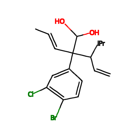 C=CC(C(C)C)C(C=CC)(c1ccc(Br)c(Cl)c1)C(O)O